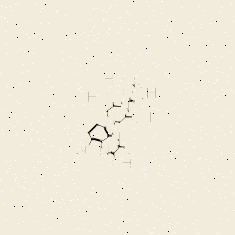 Cc1nc2c(Br)ccc(N3CC(C)N(C(=O)OC(C)(C)C)C(C)C3)c2nc1C